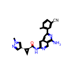 Cc1ccc(C#N)cc1-c1cc2cc(NC(=O)[C@H]3C[C@@H]3c3cnn(C)c3)ncc2c(N)n1